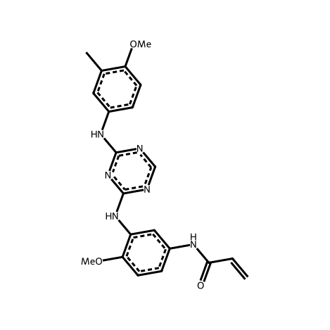 C=CC(=O)Nc1ccc(OC)c(Nc2ncnc(Nc3ccc(OC)c(C)c3)n2)c1